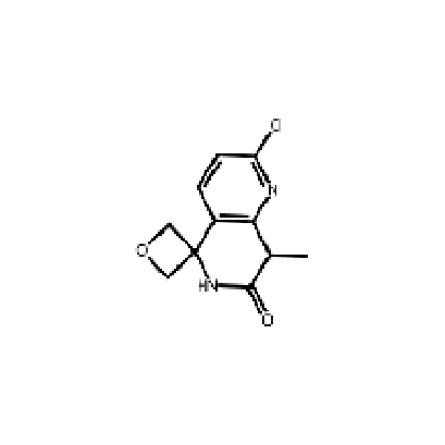 CC1C(=O)NC2(COC2)c2ccc(Cl)nc21